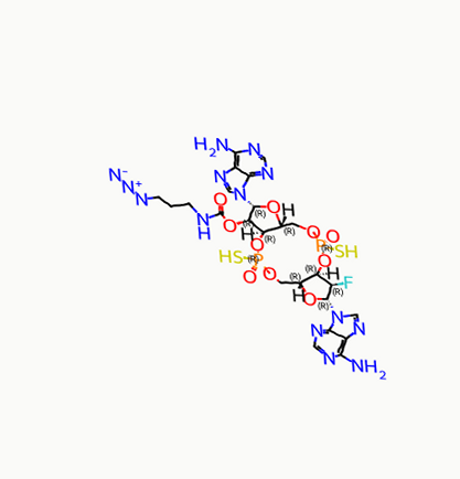 [N-]=[N+]=NCCCNC(=O)O[C@@H]1[C@@H]2O[P@](=O)(S)OC[C@H]3O[C@@H](n4cnc5c(N)ncnc54)[C@H](F)[C@@H]3O[P@](=O)(S)OC[C@H]2O[C@H]1n1cnc2c(N)ncnc21